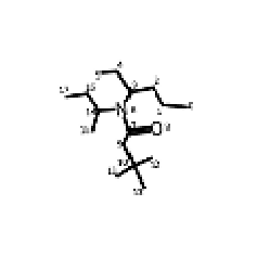 CCCC(CC)N(C(=O)CC(C)(C)C)C(C)CC